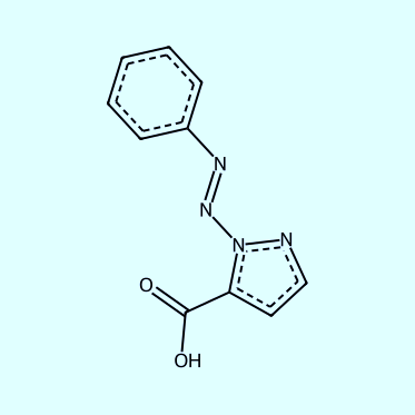 O=C(O)c1ccnn1N=Nc1ccccc1